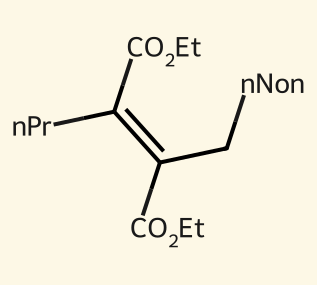 CCCCCCCCCCC(C(=O)OCC)=C(CCC)C(=O)OCC